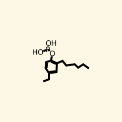 CCCCCCc1cc(CC)ccc1OP(O)O